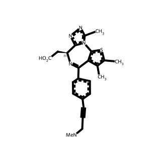 CNCC#Cc1ccc(C2=N[C@@H](CC(=O)O)c3nnc(C)n3-c3sc(C)c(C)c32)cc1